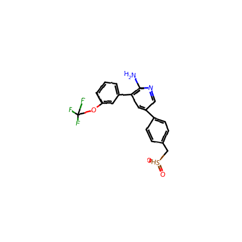 Nc1ncc(-c2ccc(C[SH](=O)=O)cc2)cc1-c1cccc(OC(F)(F)F)c1